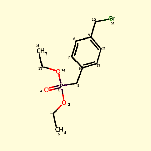 CCOP(=O)(Cc1ccc(CBr)cc1)OCC